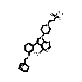 CS(=O)(=O)CCN1CCC(n2cc(-c3cccc(OCC45CCC(CC4)O5)c3)c3c(N)ncnc32)CC1